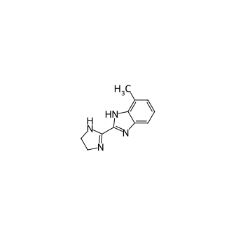 Cc1cccc2nc(C3=NCCN3)[nH]c12